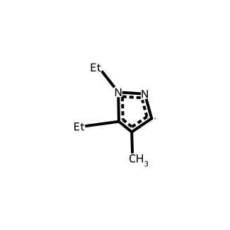 CCc1c(C)[c]nn1CC